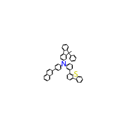 CC1(c2ccccc2)c2ccccc2-c2ccc(N(c3ccc(-c4ccc5ccccc5c4)cc3)c3cccc(-c4cccc5c4sc4ccccc45)c3)cc21